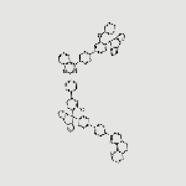 c1ccc2c(c1)Oc1cc(-c3ccc(-c4nc(-c5ccc(-c6ccc7c(c6)Oc6cc(-c8ccc(-c9ccc%10ccc%11cccnc%11c%10n9)cc8)ccc6C76c7ccccc7-c7ccccc76)cc5)nc5ccccc45)cc3)ccc1C21c2ccccc2-c2ccccc21